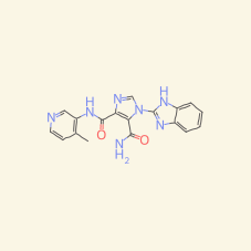 Cc1ccncc1NC(=O)c1ncn(-c2nc3ccccc3[nH]2)c1C(N)=O